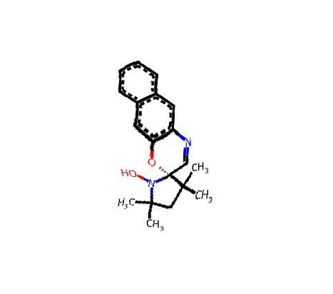 CC1(C)CC(C)(C)[C@]2(C=Nc3cc4ccccc4cc3O2)N1O